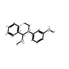 CCN(c1cccc(OC)c1)C(OC)c1ccccc1